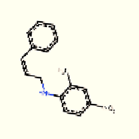 O=[N+]([O-])c1ccc(NC/C=C\c2ccccc2)c(C(F)(F)F)c1